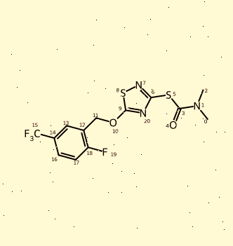 CN(C)C(=O)Sc1nsc(OCc2cc(C(F)(F)F)ccc2F)n1